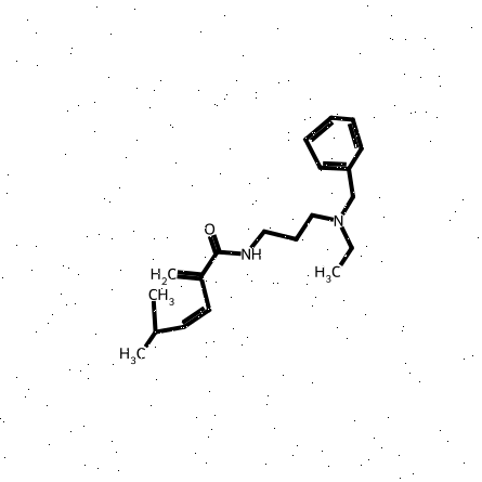 C=C(/C=C\C(C)C)C(=O)NCCCN(CC)Cc1ccccc1